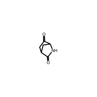 O=C1NC2CC1CC2=O